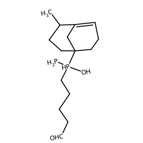 CC1CCC2([PH](O)(P)CCCCC=O)CCC=C1C2